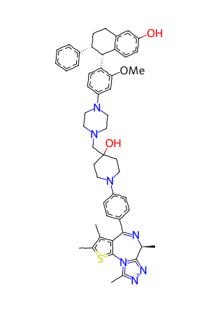 COc1cc(N2CCN(CC3(O)CCN(c4ccc(C5=N[C@@H](C)c6nnc(C)n6-c6sc(C)c(C)c65)cc4)CC3)CC2)ccc1[C@H]1c2ccc(O)cc2CC[C@H]1c1ccccc1